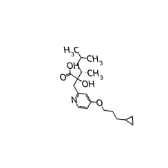 CC(C)C[C@H](C)[C@](O)(Cc1cc(OCCCC2CC2)ccn1)C(=O)O